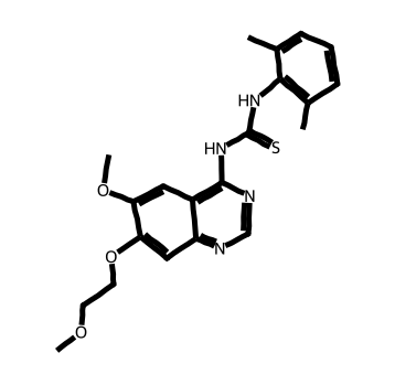 COCCOc1cc2ncnc(NC(=S)Nc3c(C)cccc3C)c2cc1OC